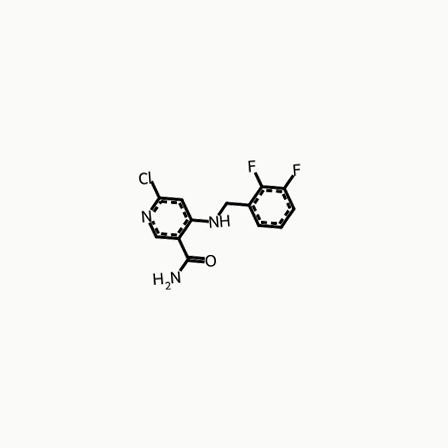 NC(=O)c1cnc(Cl)cc1NCc1cccc(F)c1F